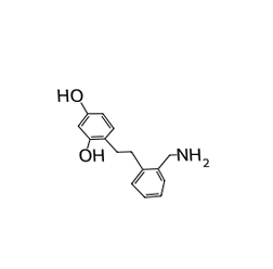 NCc1ccccc1CCc1ccc(O)cc1O